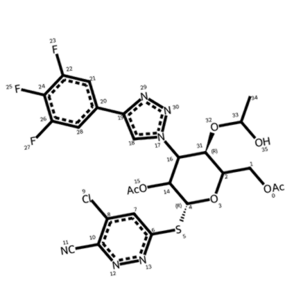 CC(=O)OCC1O[C@H](Sc2cc(Cl)c(C#N)nn2)C(OC(C)=O)C(n2cc(-c3cc(F)c(F)c(F)c3)nn2)[C@H]1OC(C)O